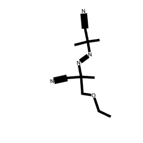 CCOCC(C)(C#N)N=NC(C)(C)C#N